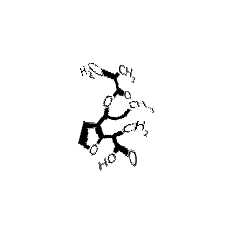 C=C(C)C(=O)OC(CC)c1ccoc1C(=C)C(=O)O